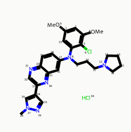 COc1cc(OC)c(Cl)c(N(CCCN2CCCC2)c2ccc3ncc(-c4cnn(C)c4)nc3c2)c1.Cl